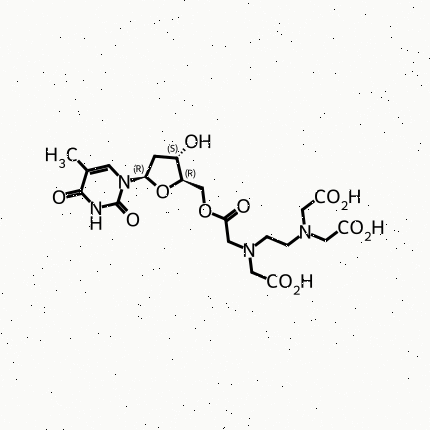 Cc1cn([C@H]2C[C@H](O)[C@@H](COC(=O)CN(CCN(CC(=O)O)CC(=O)O)CC(=O)O)O2)c(=O)[nH]c1=O